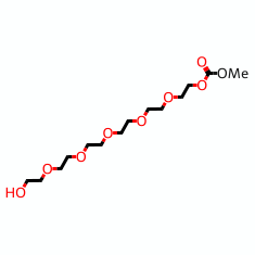 COC(=O)OCCOCCOCCOCCOCCOCCO